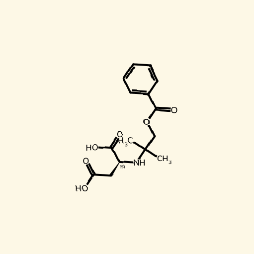 CC(C)(COC(=O)c1ccccc1)N[C@@H](CC(=O)O)C(=O)O